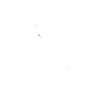 NC(=O)[C@H]1CCc2sc3ncnc(Cl)c3c2C1